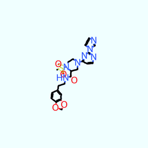 CS(=O)(=O)N1CCN(c2ccnc(-n3ccnc3)n2)CC1C(=O)NCCc1ccc2c(c1)OCO2